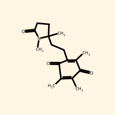 CC1=C(C)C(=O)C(CCC2(C)CCC(=O)N2C)=C(C)C1=O